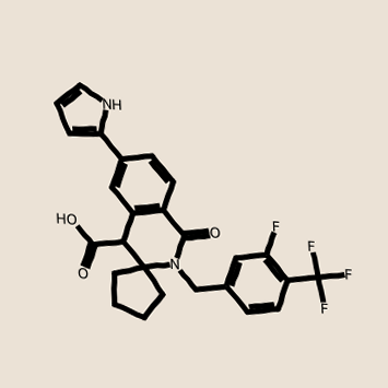 O=C(O)C1c2cc(-c3ccc[nH]3)ccc2C(=O)N(Cc2ccc(C(F)(F)F)c(F)c2)C12CCCC2